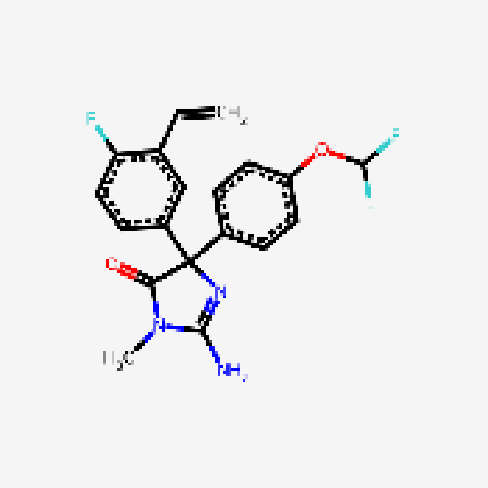 C=Cc1cc(C2(c3ccc(OC(F)F)cc3)N=C(N)N(C)C2=O)ccc1F